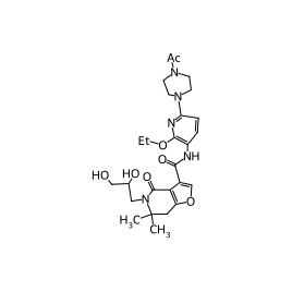 CCOc1nc(N2CCN(C(C)=O)CC2)ccc1NC(=O)c1coc2c1C(=O)N(CC(O)CO)C(C)(C)C2